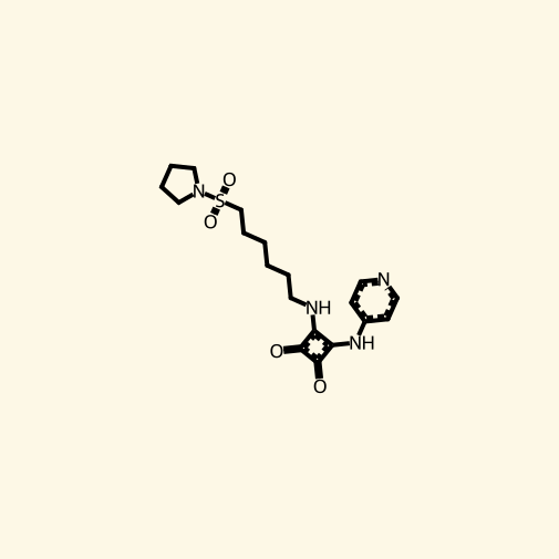 O=c1c(NCCCCCCS(=O)(=O)N2CCCC2)c(Nc2ccncc2)c1=O